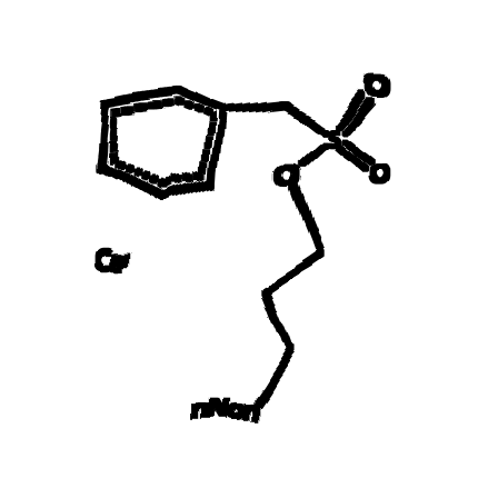 CCCCCCCCCCCCOS(=O)(=O)Cc1ccccc1.[Ca]